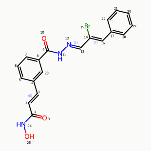 O=C(/C=C/c1cccc(C(=O)N/N=C/C(Br)=C/c2ccccc2)c1)NO